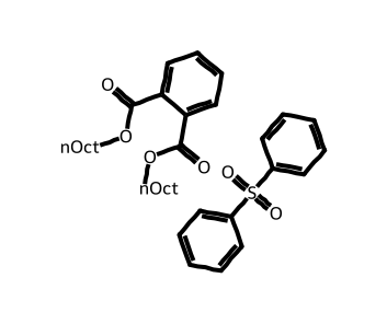 CCCCCCCCOC(=O)c1ccccc1C(=O)OCCCCCCCC.O=S(=O)(c1ccccc1)c1ccccc1